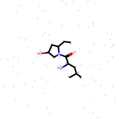 CCC1CC(O)CN1C(=O)C(N)CC(C)C